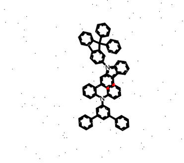 c1ccc(-c2cc(-c3ccccc3)cc(N(c3ccccc3)c3ccccc3-c3ccc4c5ccccc5n(-c5ccc6c(c5)C(c5ccccc5)(c5ccccc5)c5ccccc5-6)c4c3)c2)cc1